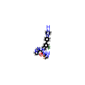 O=C(Nc1nccs1)C(c1ncn2c1CCC2)N1Cc2cc(-c3ccc(N4CCNCC4)cc3)cc(F)c2C1